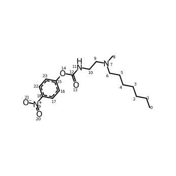 CCCCCCCN(C)CCNC(=O)Oc1ccc([N+](=O)[O-])cc1